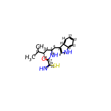 CC(C)CCC(Cc1c[nH]c2ccccc12)NC(=O)C(=N)S